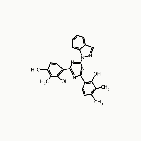 Cc1ccc(-c2nc(-c3ccc(C)c(C)c3O)nc(-n3ncc4ccccc43)n2)c(O)c1C